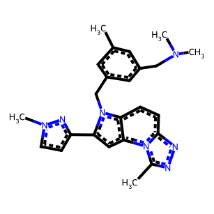 Cc1cc(CN(C)C)cc(Cn2c(-c3ccn(C)n3)cc3c2ccc2nnc(C)n23)c1